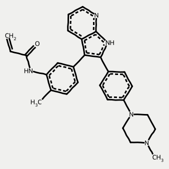 C=CC(=O)Nc1cc(-c2c(-c3ccc(N4CCN(C)CC4)cc3)[nH]c3ncccc23)ccc1C